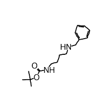 CC(C)(C)OC(=O)NCCCCNCc1ccccc1